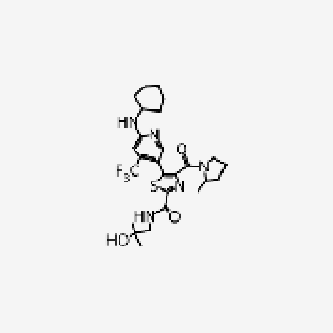 CC1CCCN1C(=O)c1nc(C(=O)NCC(C)(C)O)sc1-c1cnc(NC2CCCCC2)cc1C(F)(F)F